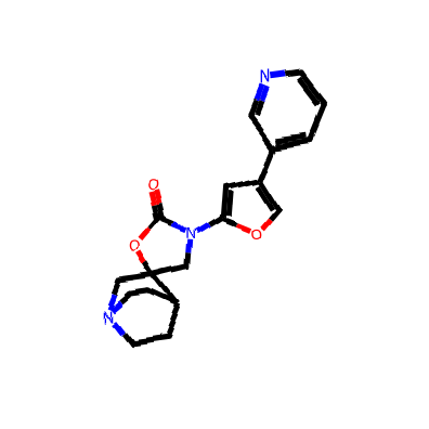 O=C1OC2(CN3CCC2CC3)CN1c1cc(-c2cccnc2)co1